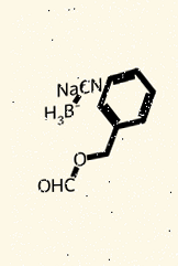 O=COCc1ccccc1.[BH3-]C#N.[Na+]